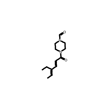 C/C=C(/C=C/C(=O)N1CCN(C=O)CC1)CC